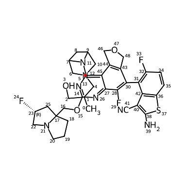 CC(CO)CN1CC2CC(C1)N2c1nc(OCC23CCCN2C[C@H](F)C3)nc2c(F)c(-c3c(F)ccc4sc(N)c(C#N)c34)c3c(c12)COC3